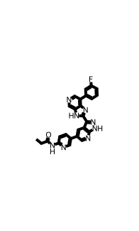 CCC(=O)Nc1ccc(-c2cnc3[nH]nc(-c4nc5c(-c6cccc(F)c6)cncc5[nH]4)c3c2)cn1